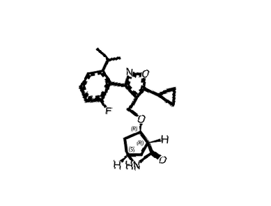 CC(C)c1cccc(F)c1-c1noc(C2CC2)c1CO[C@@H]1C[C@@H]2C[C@H]1C(=O)N2